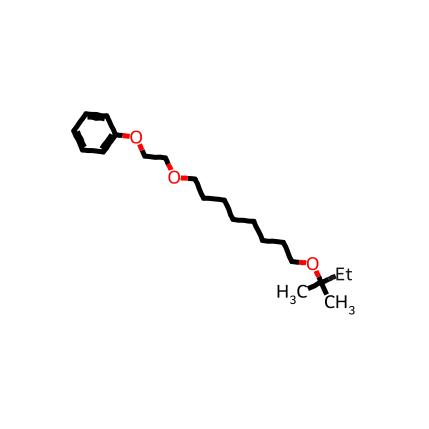 CCC(C)(C)OCCCCCCCCOCCOc1ccccc1